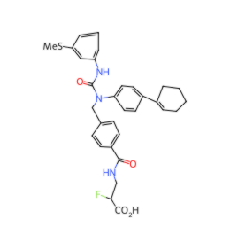 CSc1cccc(NC(=O)N(Cc2ccc(C(=O)NCC(F)C(=O)O)cc2)c2ccc(C3=CCCCC3)cc2)c1